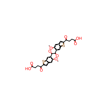 COc1cc2cc(C(=O)CCC(=O)O)sc2cc1C(=O)C(=O)c1cc2sc(C(=O)CCC(=O)O)cc2cc1OC